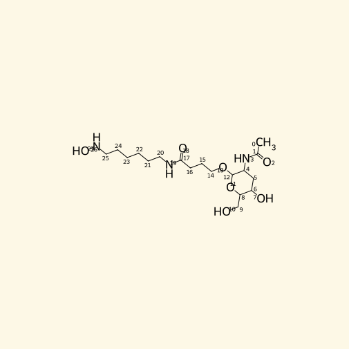 CC(=O)NC1CC(O)C(CO)OC1OCCCC(=O)NCCCCCCNO